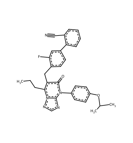 CCCc1c(Cc2ccc(-c3ccccc3C#N)cc2F)c(=O)n(-c2ccc(OC(C)C)cc2)c2ncnn12